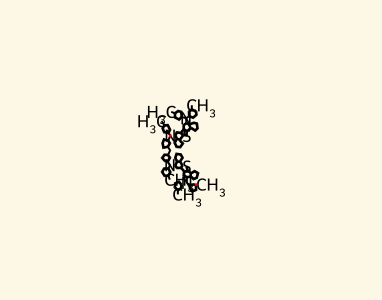 Cc1ccc(N(c2cccc(C)c2)c2cc3c4cc(N(c5ccc(C)cc5)c5cccc(Cc6cccc(N(c7cccc(C)c7)c7cc8c9cc(N(c%10cccc(C)c%10)c%10cccc(C)c%10)c%10ccccc%10c9sc8c8ccccc78)c6)c5)c5ccccc5c4sc3c3ccccc23)cc1